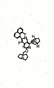 Fc1c(-c2cccc3cccc(F)c23)ncc2c(N3C[C@H]4CC[C@@H](C3)N4)nc(OCC34CCCN3CCC4)nc12